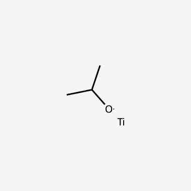 CC(C)[O].[Ti]